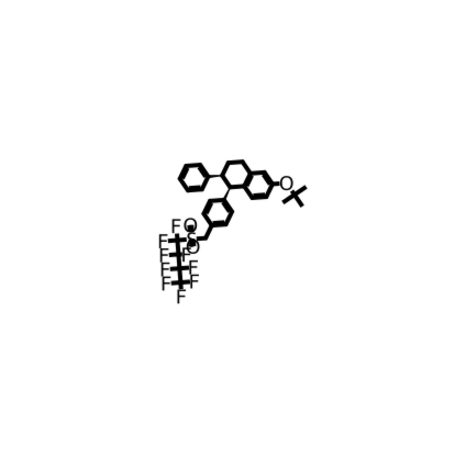 CC(C)(C)Oc1ccc2c(c1)CC[C@H](c1ccccc1)[C@@H]2c1ccc(CS(=O)(=O)C(F)(F)C(F)(F)C(F)(F)C(F)(F)F)cc1